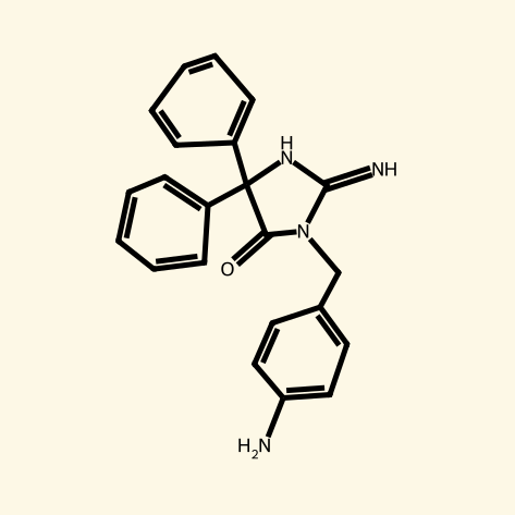 N=C1NC(c2ccccc2)(c2ccccc2)C(=O)N1Cc1ccc(N)cc1